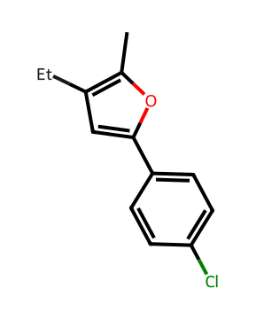 CCc1cc(-c2ccc(Cl)cc2)oc1C